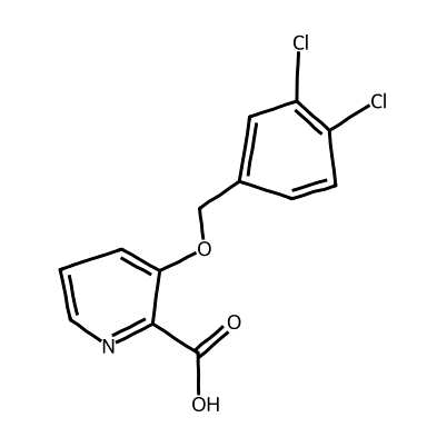 O=C(O)c1ncccc1OCc1ccc(Cl)c(Cl)c1